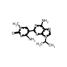 CC(C)n1cnc2c(N)nc(-c3cn(C)c(=O)nc3N)nc21